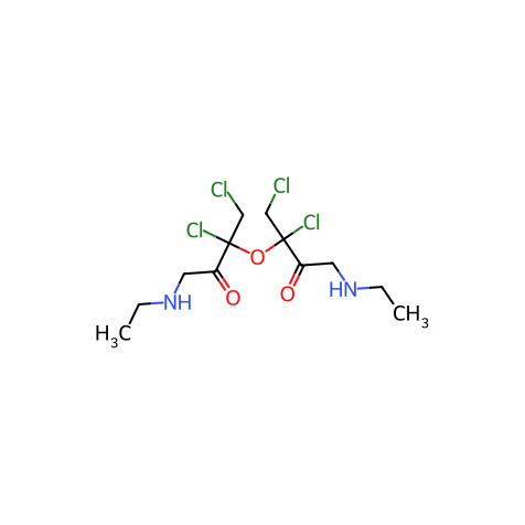 CCNCC(=O)C(Cl)(CCl)OC(Cl)(CCl)C(=O)CNCC